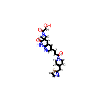 O=C(C=Cc1cnc2c(c1)CC1(CN(C(=O)CO)C1)C(=O)N2)N1CC=C(Cc2nccs2)CC1